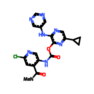 CNC(=O)c1cc(Cl)ncc1NC(=O)Oc1nc(C2CC2)cnc1Nc1cncnc1